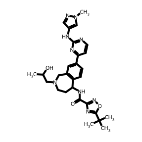 CC(O)CN1CCC(NC(=O)c2noc(C(C)(C)C)n2)c2ccc(-c3ccnc(Nc4cnn(C)c4)n3)cc2C1